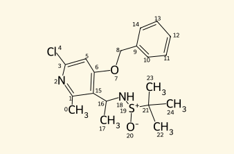 Cc1nc(Cl)cc(OCc2ccccc2)c1C(C)N[S+]([O-])C(C)(C)C